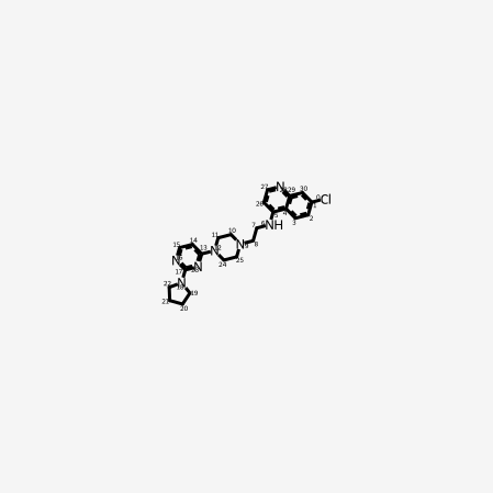 Clc1ccc2c(NCCN3CCN(c4ccnc(N5CCCC5)n4)CC3)ccnc2c1